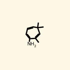 CC1=CC(C)(C)C=CC=C1N